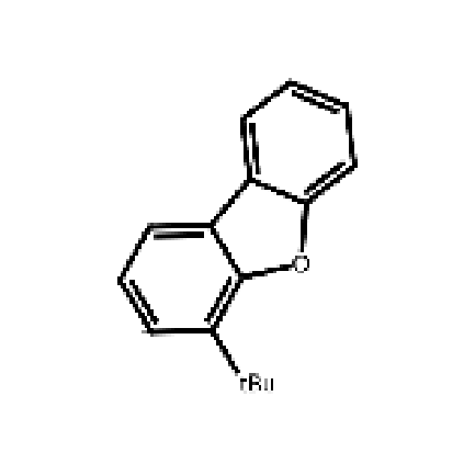 CC(C)(C)c1[c]ccc2c1oc1ccccc12